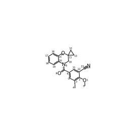 COc1c(I)cc(C(=O)N2CC3(CC3)Oc3ccccc32)cc1C#N